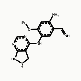 CC(C)Oc1cc(N)c(C=N)cc1Nc1ncnc2c1CNN2